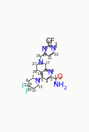 NC(=O)c1cc(N2CCC(F)(F)CC2)c2c(n1)CN(Cc1ccnc(C(F)(F)F)n1)CC2